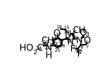 Cc1c(N2C(=O)OCC2C(F)F)nc2n1CCOc1cc(N[C@@H](C)C(=O)O)ccc1-2